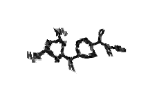 CC(C)(C)NC(=O)c1ccc(Nc2nc(N)nc(N)n2)cc1